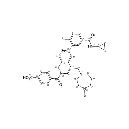 Cc1ccc(C(=O)NC2CC2)cc1-c1ccc2c(c1)C(CN1CCCN(C)CC1)=CN(C(=O)c1ccc(C(=O)O)cc1)C2